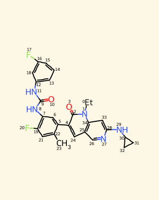 CCn1c(=O)c(-c2cc(NC(=O)Nc3cccc(F)c3)c(F)cc2C)cc2cnc(NC3CC3)cc21